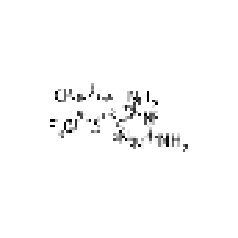 Nc1nnc(-c2ccc(Cl)c(C(F)(F)F)c2)c(N)n1